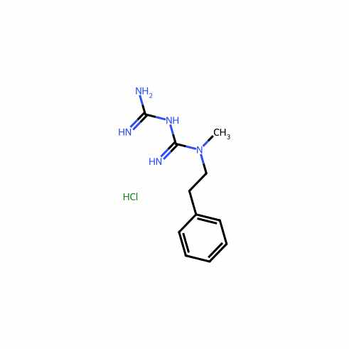 CN(CCc1ccccc1)C(=N)NC(=N)N.Cl